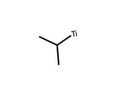 C[CH](C)[Ti]